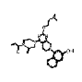 C=CC(=O)N1CCN(c2nc(OCCN(C)C)nc3c2CCN(c2cc(O)cc4ccccc24)C3)CC1C